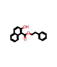 O=C(OCCc1ccccc1)c1c(O)ccc2ccccc12